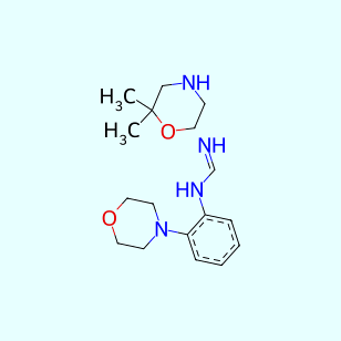 CC1(C)CNCCO1.N=CNc1ccccc1N1CCOCC1